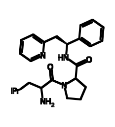 CC(C)CC(N)C(=O)N1CCCC1C(=O)N[C@@H](Cc1ccccn1)c1ccccc1